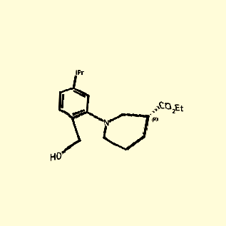 CCOC(=O)[C@@H]1CCCN(c2cc(C(C)C)ccc2CO)C1